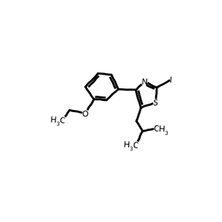 CCOc1cccc(-c2nc(I)sc2CC(C)C)c1